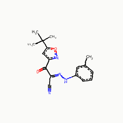 Cc1cccc(N/N=C(\C#N)C(=O)c2cc(C(C)(C)C)on2)c1